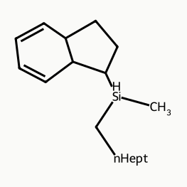 CCCCCCCC[SiH](C)C1CCC2C=CC=CC21